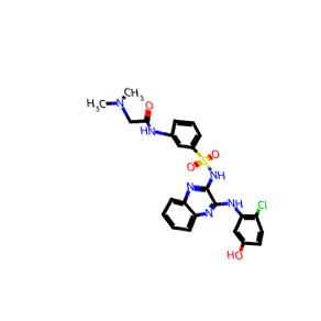 CN(C)CC(=O)Nc1cccc(S(=O)(=O)Nc2nc3ccccc3nc2Nc2cc(O)ccc2Cl)c1